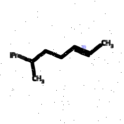 [CH2]C(C)C(C)CC/C=C/C